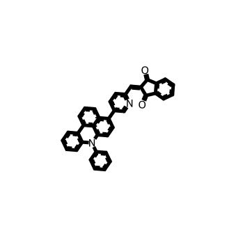 O=C1C(=Cc2ccc(-c3ccc4c5c(cccc35)-c3ccccc3N4c3ccccc3)cn2)C(=O)c2ccccc21